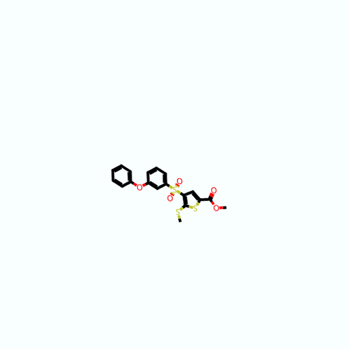 COC(=O)c1cc(S(=O)(=O)c2cccc(Oc3ccccc3)c2)c(SC)s1